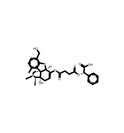 Cc1ccc(CO)c2c1[C@]13CCN(C)[C@H](C)[C@]1(O)CC=C(OC(=O)CCC(=O)O[C@H](C(=O)O)c1ccccc1)[C@@H]3O2